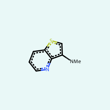 CNc1csc2cccnc12